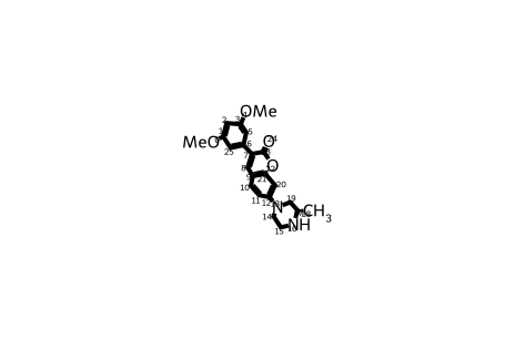 COc1cc(OC)cc(-c2cc3ccc(N4CCN[C@H](C)C4)cc3oc2=O)c1